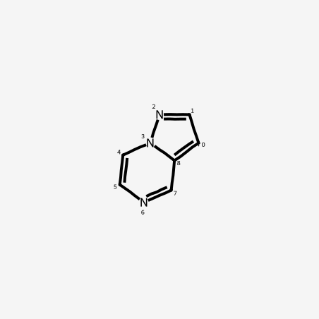 [c]1cnn2ccncc12